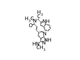 CNc1n[nH]c2ncc(/C=C/C(=O)N(C)C(C)c3cc4ccccc4[nH]3)cc12